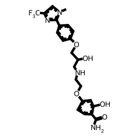 Cn1cc(C(F)(F)F)nc1-c1ccc(OCC(O)CNCCOc2ccc(C(N)=O)c(O)c2)cc1